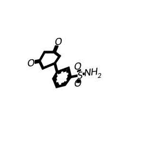 NS(=O)(=O)c1cccc(C2CC(=O)CC(=O)C2)c1